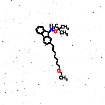 CCOCCCCC/C=C/c1ccc2c(c1)/C(=N\OC(C)(C)C)c1ccccc1-2